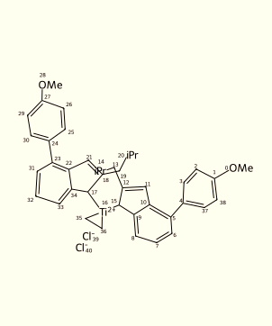 COc1ccc(-c2cccc3c2C=C(CC(C)C)[CH]3[Ti+2]2([CH]3C(CC(C)C)=Cc4c(-c5ccc(OC)cc5)cccc43)[CH2][CH2]2)cc1.[Cl-].[Cl-]